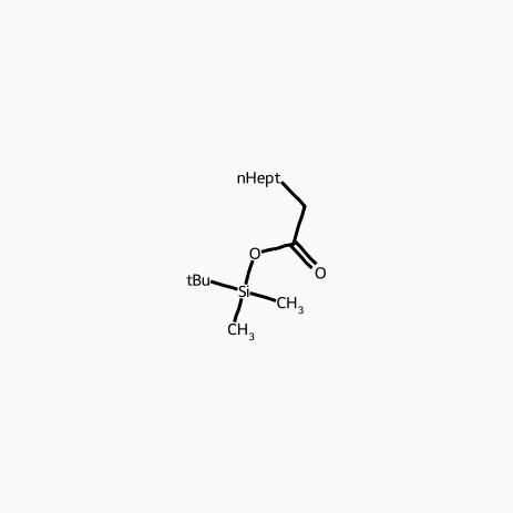 CCCCCCCCC(=O)O[Si](C)(C)C(C)(C)C